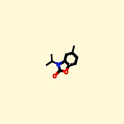 Cc1ccc2oc(=O)n(C(C)C)c2c1